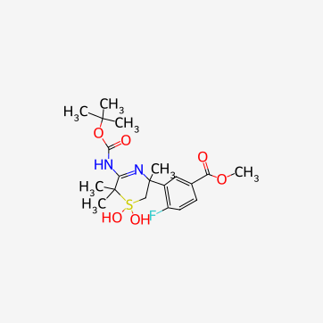 COC(=O)c1ccc(F)c(C2(C)CS(O)(O)C(C)(C)C(NC(=O)OC(C)(C)C)=N2)c1